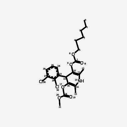 CCCCCCOC(=O)OC1=C(C)NC(C)=C(OC(=O)OC)C1c1cccc(Cl)c1Cl